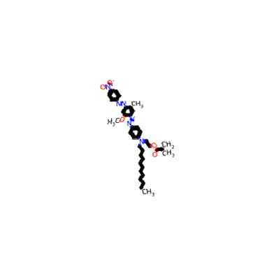 C=C(C)C(=O)OCCN(CCCCCCCCCCCC)c1ccc(/N=N/c2cc(C)c(/N=N/c3ccc([N+](=O)[O-])cc3)cc2OC)cc1